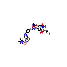 Cc1nc(C(=O)N2CCOC3(CCN(Cc4ccc(CCNC[C@H](OC(=O)C(F)(F)F)c5ccc(OC(=O)C(F)(F)F)c6[nH]c(=O)ccc56)cc4)CC3)C2)cs1